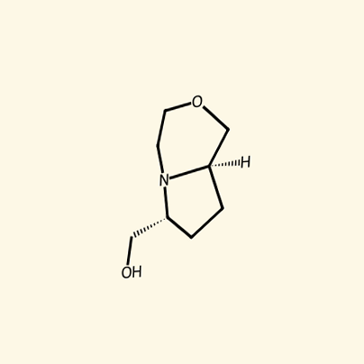 OC[C@H]1CC[C@@H]2COCCN21